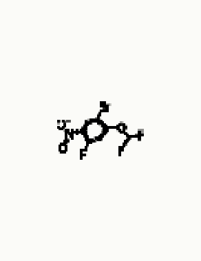 O=[N+]([O-])c1cc(Br)c(OC(F)F)cc1F